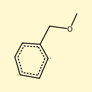 COCc1[c]c[c]cc1